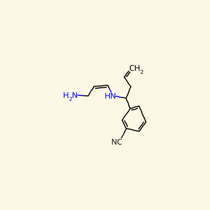 C=CCC(N/C=C\CN)c1cccc(C#N)c1